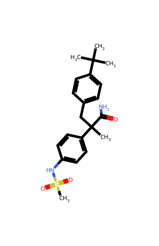 CC(C)(C)c1ccc(CC(C)(C(N)=O)c2ccc(NS(C)(=O)=O)cc2)cc1